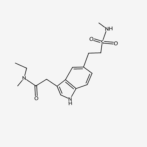 CCN(C)C(=O)Cc1c[nH]c2ccc(CCS(=O)(=O)NC)cc12